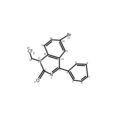 O=c1nc(-c2ccccc2)c2cc(Br)ccc2n1CC(F)(F)F